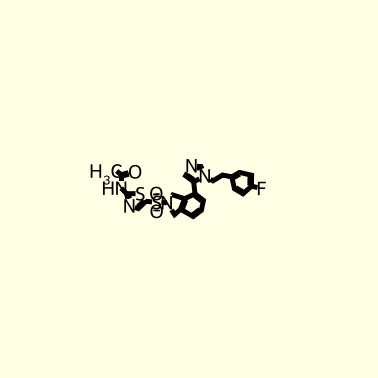 CC(=O)Nc1ncc(S(=O)(=O)N2Cc3cccc(-c4cncn4CCc4ccc(F)cc4)c3C2)s1